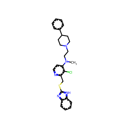 CN(CCN1CCC(c2ccccc2)CC1)c1ccnc(CSc2nc3ccccc3[nH]2)c1Cl